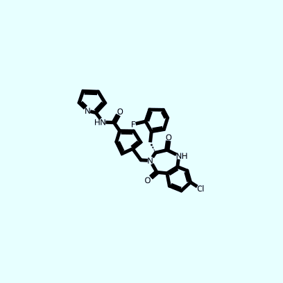 O=C(Nc1ccccn1)c1ccc(CN2C(=O)c3ccc(Cl)cc3NC(=O)[C@H]2Cc2ccccc2F)cc1